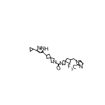 O=C(N1CC2(CC(Cn3ccnc3C(F)(F)F)C2)C1)N1CC2(CC(c3cc(C4CC4)n[nH]3)C2)C1